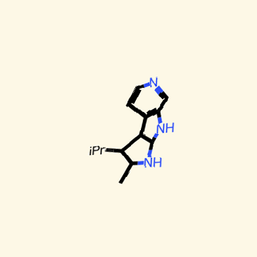 CC(C)C1C(C)NC2Nc3cnccc3C21